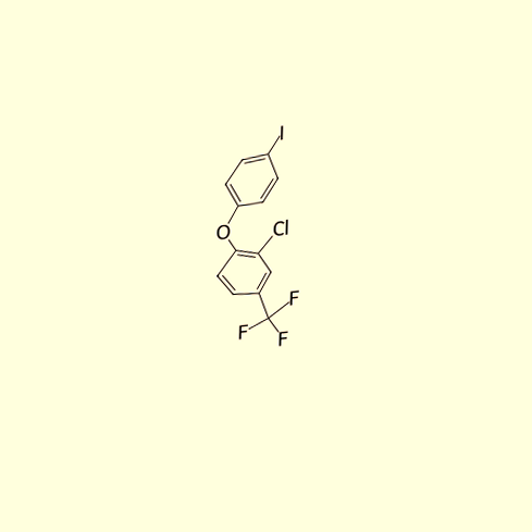 FC(F)(F)c1ccc(Oc2ccc(I)cc2)c(Cl)c1